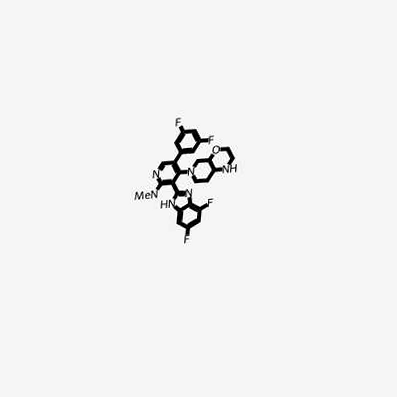 CNc1ncc(-c2cc(F)cc(F)c2)c(N2CCC3NCCOC3C2)c1-c1nc2c(F)cc(F)cc2[nH]1